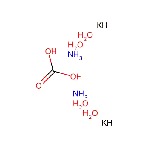 N.N.O.O.O.O.O=C(O)O.[KH].[KH]